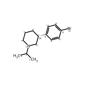 CC(C)N1CCC[C@H](c2ccc(Br)cc2)C1